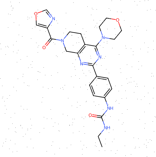 CCNC(=O)Nc1ccc(-c2nc3c(c(N4CCOCC4)n2)CCN(C(=O)c2cocn2)C3)cc1